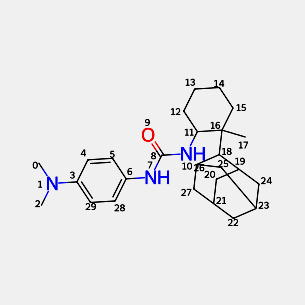 CN(C)c1ccc(NC(=O)NC2CCCCC2(C)C2C3CC4CC(C3)CC2C4)cc1